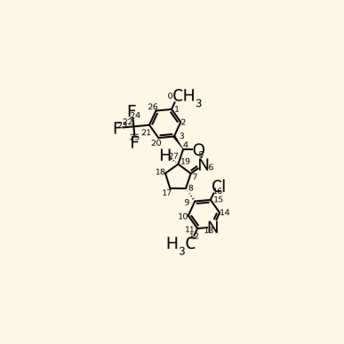 Cc1cc([C@H]2ON=C3[C@H](c4cc(C)ncc4Cl)CC[C@H]32)cc(C(F)(F)F)c1